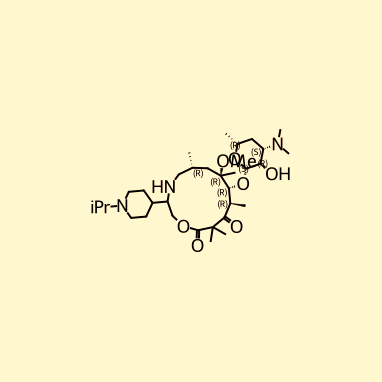 CO[C@]1(C)C[C@@H](C)CNC(C2CCN(C(C)C)CC2)COC(=O)C(C)(C)C(=O)[C@H](C)[C@H]1O[C@@H]1O[C@H](C)C[C@H](N(C)C)[C@H]1O